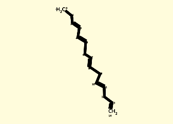 [CH2]CC=CC=CCC=CCC=CCC=C